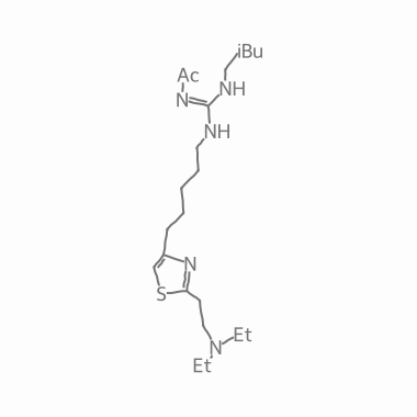 CCC(C)CNC(=NC(C)=O)NCCCCCc1csc(CCN(CC)CC)n1